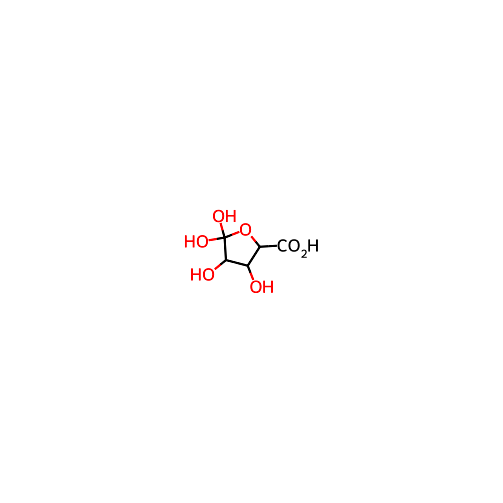 O=C(O)C1OC(O)(O)C(O)C1O